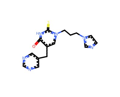 O=c1[nH]c(=S)n(CCCn2ccnc2)cc1Cc1cncnc1